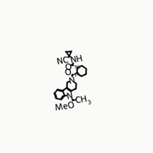 COC(C)n1c2c(c3ccccc31)CN(C(=O)[C@@H]1CCCC[C@H]1C(=O)NC1(C#N)CC1)CC2